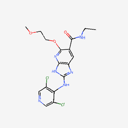 CCNC(=O)c1cc2nc(Nc3c(Cl)cncc3Cl)[nH]c2nc1OCCOC